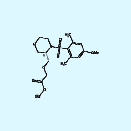 COc1cc(C)c(S(=O)(=O)N2CCOC[C@H]2COCC(=O)OC(C)(C)C)c(C)c1